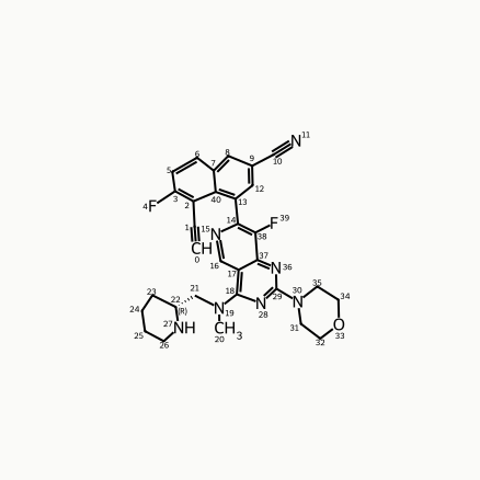 C#Cc1c(F)ccc2cc(C#N)cc(-c3ncc4c(N(C)C[C@H]5CCCCN5)nc(N5CCOCC5)nc4c3F)c12